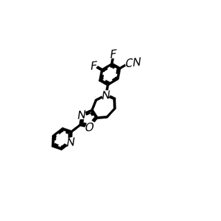 N#Cc1cc(N2CCCc3oc(-c4ccccn4)nc3C2)cc(F)c1F